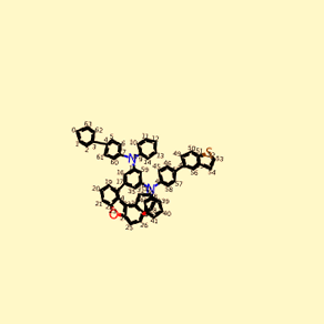 c1ccc(-c2ccc(N(c3ccccc3)c3cc(-c4cccc5oc6ccc7ccccc7c6c45)cc(N(c4ccccc4)c4ccc(-c5ccc6sccc6c5)cc4)c3)cc2)cc1